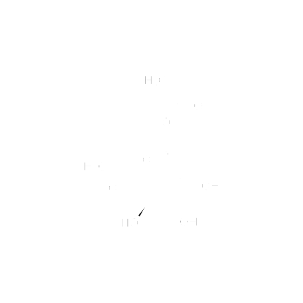 COC1O[C@H](COC(C)=O)C(O)[C@H](O)[C@H]1O